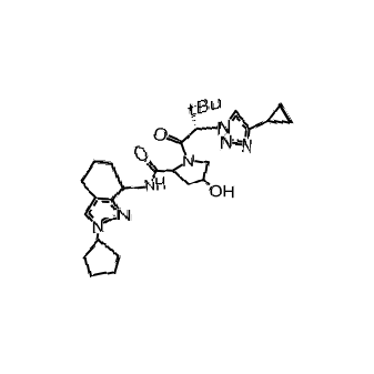 CC(C)(C)[C@@H](C(=O)N1CC(O)CC1C(=O)NC1CCCc2cn(C3CCCC3)nc21)n1cc(C2CC2)nn1